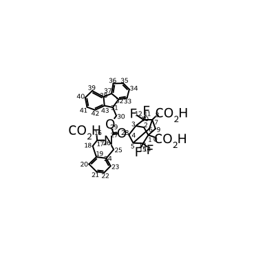 O=C(O)C12CC3CC(CC(C(=O)O)(C1)C3(F)F)C2(F)F.O=C(O)C1Cc2ccccc2CN1C(=O)OCC1c2ccccc2-c2ccccc21